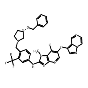 Cn1c(Nc2ccc(CN3CC[C@H](OCc4ccccc4)C3)c(C(F)(F)F)c2)nc2ncc(Oc3cnn4ccncc34)c(Cl)c21